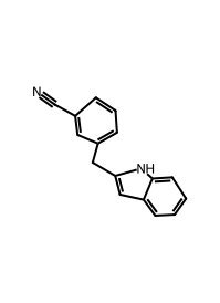 N#Cc1cccc(Cc2cc3ccccc3[nH]2)c1